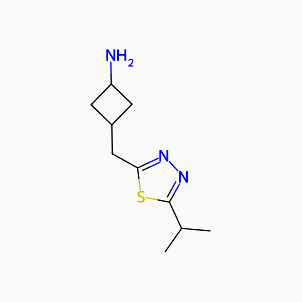 CC(C)c1nnc(CC2CC(N)C2)s1